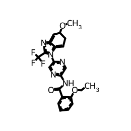 CCOc1ccccc1C(=O)Nc1cnc(-n2c(C(F)(F)F)nc3c2=CCC(OC)C=3)cn1